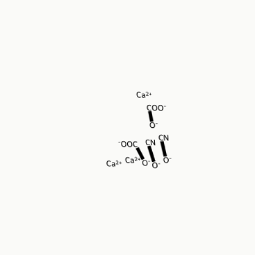 N#C[O-].N#C[O-].O=C([O-])[O-].O=C([O-])[O-].[Ca+2].[Ca+2].[Ca+2]